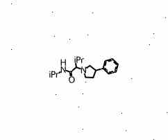 CC(C)NC(=O)C(C(C)C)N1CCC(c2ccccc2)C1